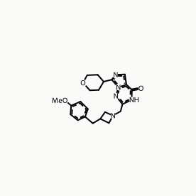 COc1ccc(CC2CN(Cc3nn4c(C5CCOCC5)ncc4c(=O)[nH]3)C2)cc1